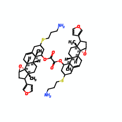 C[C@]12C(=CC[C@@H]3[C@H]1CC[C@]1(C)C(c4ccoc4)CC4O[C@]431)CC(SCCCN)CC2OC(=O)C(=O)OC1CC(SCCCN)CC2=CC[C@@H]3[C@@H](CC[C@]4(C)C(c5ccoc5)CC5O[C@]534)[C@]21C